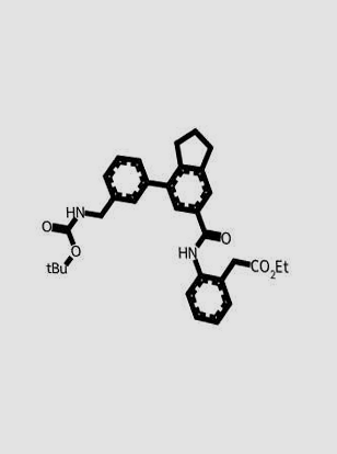 CCOC(=O)Cc1ccccc1NC(=O)c1cc2c(c(-c3cccc(CNC(=O)OC(C)(C)C)c3)c1)CCC2